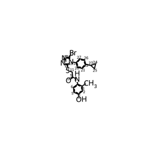 Cc1cc(O)ccc1NC(=O)CSc1nnc(Br)n1-c1ccc(C2CC2)cc1